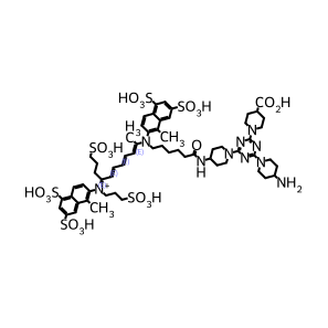 C\C(=C/C=C/C=C/C(CCCS(=O)(=O)O)=[N+](\CCCS(=O)(=O)O)c1ccc2c(S(=O)(=O)O)cc(S(=O)(=O)O)cc2c1C)N(CCCCCC(=O)NC1CCN(c2nc(N3CCC(N)CC3)nc(N3CCC(C(=O)O)CC3)n2)CC1)c1ccc2c(S(=O)(=O)O)cc(S(=O)(=O)O)cc2c1C